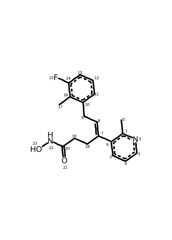 Cc1ncccc1/C(=C/Cc1cccc(F)c1C)CCC(=O)NO